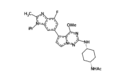 COc1nc(N[C@H]2CC[C@@H](NC(C)=O)CC2)nn2ccc(-c3cc(F)c4nc(C)n(C(C)C)c4c3)c12